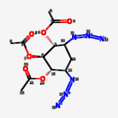 CC(=O)O[C@H]1[C@H](OC(C)=O)C(N=[N+]=[N-])CC(N=[N+]=[N-])[C@@H]1OC(C)=O